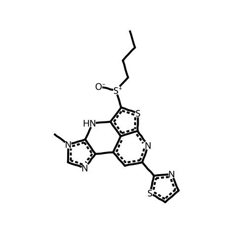 CCCC[S+]([O-])c1sc2nc(-c3nccs3)cc3c2c1Nc1c-3ncn1C